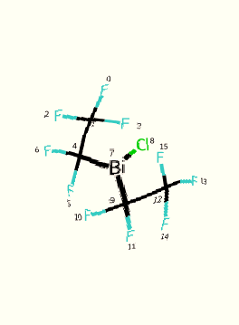 FC(F)(F)[C](F)(F)[Bi]([Cl])[C](F)(F)C(F)(F)F